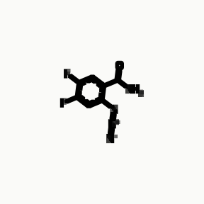 [N-]=[N+]=Nc1cc(F)c(F)cc1C(N)=O